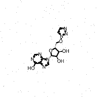 Oc1ncnc2c1ncn2[C@@H]1O[C@H](COn2ccnn2)[C@@H](O)[C@H]1O